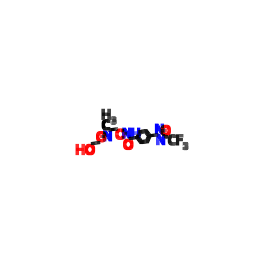 CC(CONC(=O)c1ccc(-c2noc(C(F)(F)F)n2)cc1)=NOCCO